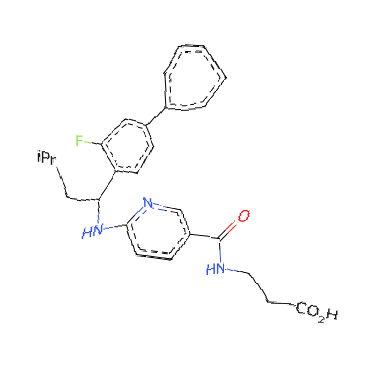 CC(C)CC(Nc1ccc(C(=O)NCCC(=O)O)cn1)c1ccc(-c2ccccc2)cc1F